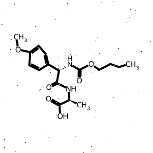 CCCCOC(=O)N[C@H](C(=O)N[C@@H](C)C(=O)O)c1ccc(OC)cc1